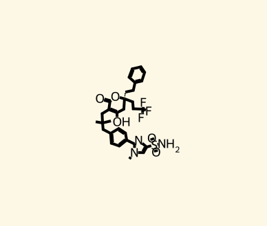 Cn1cc(S(N)(=O)=O)nc1-c1ccc(CC(C)(C)CC2=C(O)C[C@](CCc3ccccc3)(CCC(F)(F)F)OC2=O)cc1